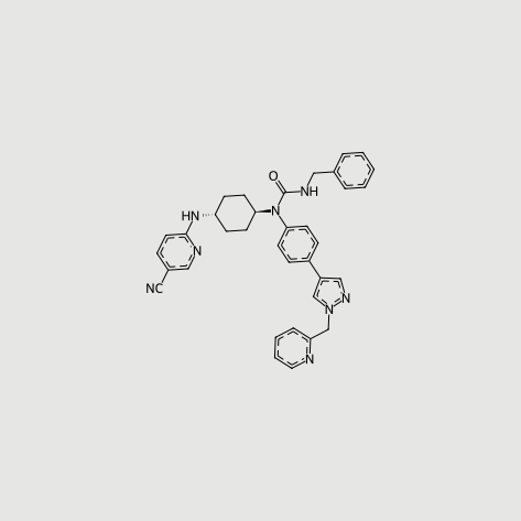 N#Cc1ccc(N[C@H]2CC[C@H](N(C(=O)NCc3ccccc3)c3ccc(-c4cnn(Cc5ccccn5)c4)cc3)CC2)nc1